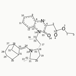 CCOC(=O)Cc1nc2ccccc2n([C@@H](C)C[C@@H]2CC[C@H](C)N2C=C2C3CCCCC2C3)c1=O